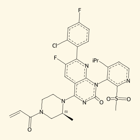 C=CC(=O)N1CCN(c2nc(=O)n(-c3c(C(C)C)ccnc3S(C)(=O)=O)c3nc(-c4ccc(F)cc4Cl)c(F)cc23)[C@@H](C)C1